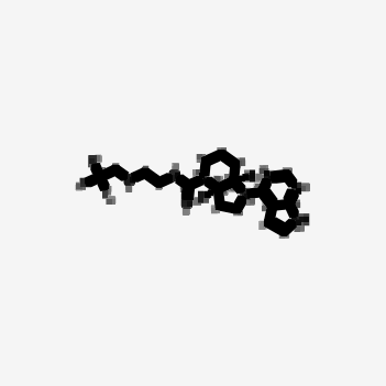 O=C(OCCOCC(F)(F)F)N1CCC[C@@H]2[C@H]1CCN2c1ncnc2[nH]ccc12